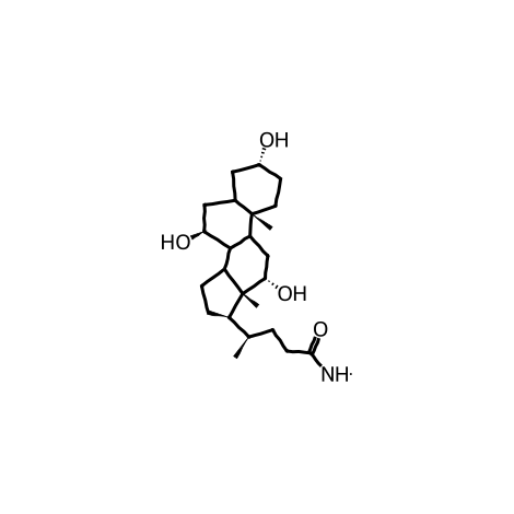 C[C@H](CCC([NH])=O)[C@H]1CCC2C3C(C[C@H](O)[C@@]21C)[C@@]1(C)CC[C@@H](O)CC1C[C@@H]3O